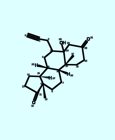 C#CCC1C[C@@H]2[C@@H](CC[C@]3(C)C(=O)CC[C@@H]23)[C@@]2(C)CCC(=O)CC12O